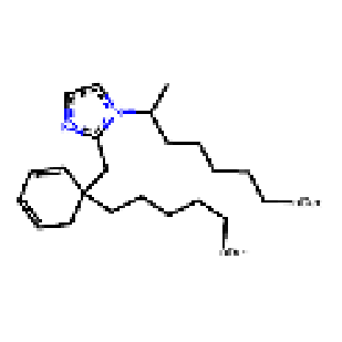 CCCCCCCCCCCCCCCC(C)n1ccnc1CC1(CCCCCCCCCCCCCCC)C=CC=CC1